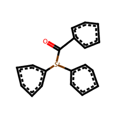 O=C(c1ccccc1)[S+](c1ccccc1)c1ccccc1